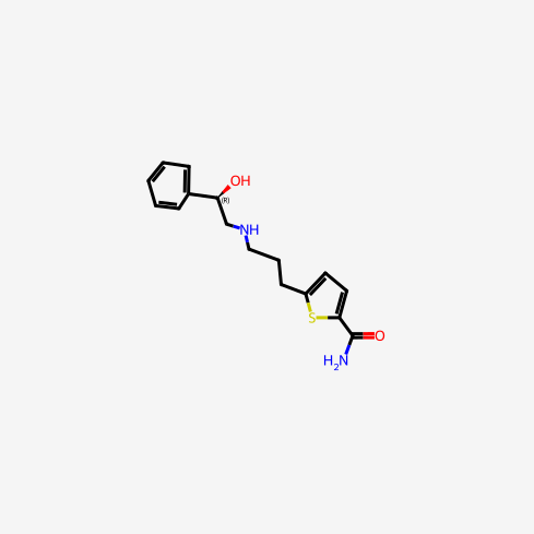 NC(=O)c1ccc(CCCNC[C@H](O)c2ccccc2)s1